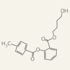 Cc1ccc(C(=O)Oc2ccccc2C(=O)OCCCCO)cc1